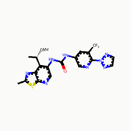 CO[C@@H](C)c1c(NC(=O)Nc2cnc(-n3nccn3)c(C(F)(F)F)c2)cnc2sc(C)nc12